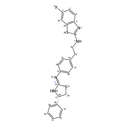 Fc1ccc2nc(NCCc3ccc(/N=C4/N[C@@H](c5ccccc5)CS4)cc3)sc2c1